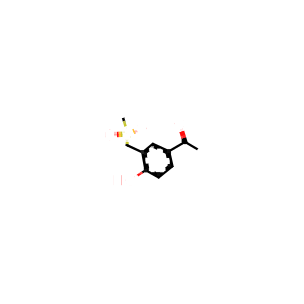 CC(=O)c1ccc(O)c(CS(C)(=O)=O)c1